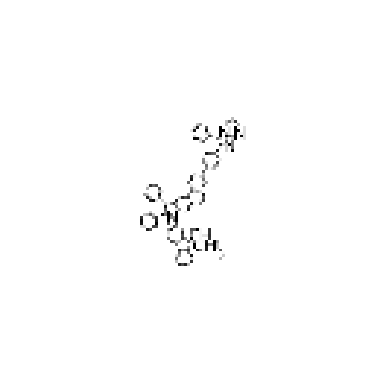 CC1(C)c2ccccc2-c2ccc(-n3c(-c4ccccc4)c(-c4ccccc4)c4cc5c(ccc6cc(-c7ccc(C8N=C9N=CC=CN9C8c8ccccc8)cc7)ccc65)cc43)cc21